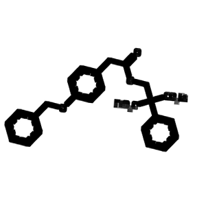 CCOC(=O)C(COC(=O)Cc1ccc(OCc2ccccc2)cc1)(C(=O)OCC)c1ccccc1